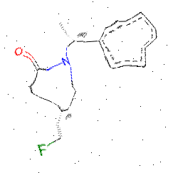 C[C@H](c1ccccc1)N1C[C@H](CF)CC1=O